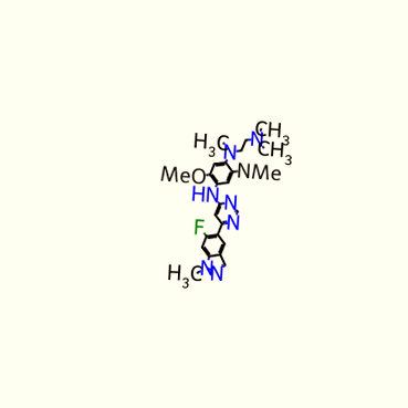 CNc1cc(Nc2cc(-c3cc4cnn(C)c4cc3F)ncn2)c(OC)cc1N(C)CCN(C)C